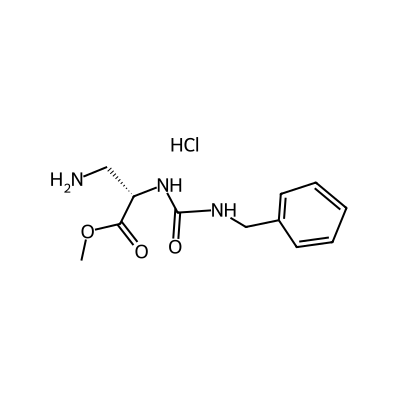 COC(=O)[C@H](CN)NC(=O)NCc1ccccc1.Cl